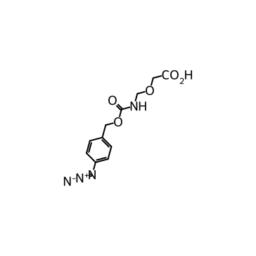 [N-]=[N+]=Nc1ccc(COC(=O)NCOCC(=O)O)cc1